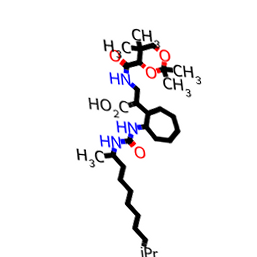 CC(C)CCCCCCCC(C)NC(=O)NC1CCCCCC1C(CNC(=O)C1OC(C)(C)OCC1(C)C)C(=O)O